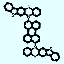 c1ccc2c(c1)Sc1cc3c(cc1N2c1ccc2c4cccc5c(N6c7ccccc7Sc7cc8c(cc76)sc6ccccc68)ccc(c6cccc1c62)c54)sc1ccccc13